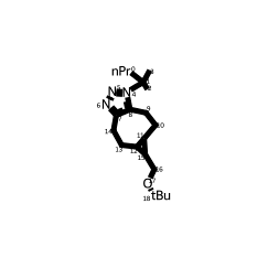 CCCC(C)(C)n1nnc2c1CCC1C(CC2)C1COC(C)(C)C